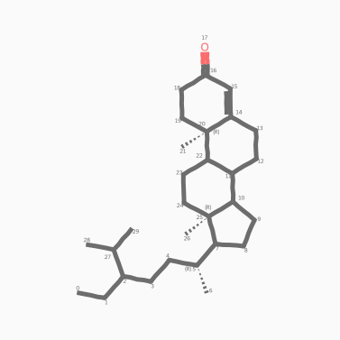 CCC(CC[C@@H](C)C1CCC2C3CCC4=CC(=O)CC[C@]4(C)C3CC[C@@]21C)C(C)C